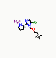 C[Si](C)(C)CCOCn1c(Br)cnc1[C@@H]1CCCN1P